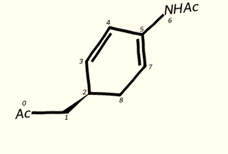 CC(=O)C[C@H]1C=CC(NC(C)=O)=CC1